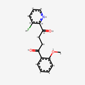 COc1ccccc1C(=O)CCC(=O)c1ncccc1F